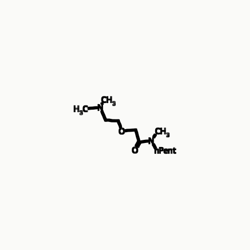 CCCCCN(C)C(=O)COCCN(C)C